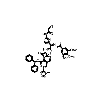 CC(=O)Oc1cc(C(=O)O/N=C(\C(=O)N[C@@H]2C(=O)N3C(C(=O)OC(c4ccccc4)c4ccccc4)=C(CSc4nnnn4C)CS[C@@H]23)c2coc(NC(=O)CCl)n2)cc(OC(C)=O)c1OC(C)=O